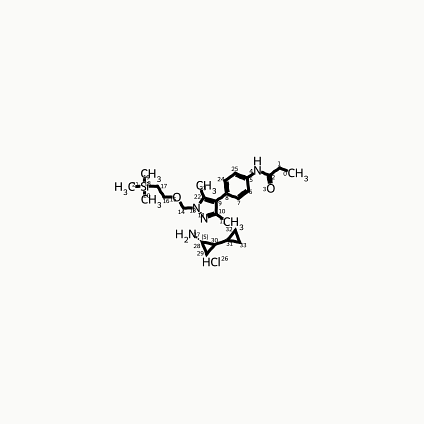 CCC(=O)Nc1ccc(-c2c(C)nn(COCC[Si](C)(C)C)c2C)cc1.Cl.N[C@H]1CC1C1CC1